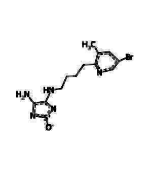 Cc1cc(Br)cnc1CCCCNc1n[s+]([O-])nc1N